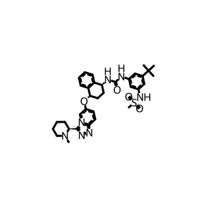 CN1CCCC[C@H]1c1nnc2ccc(O[C@@H]3CC[C@H](NC(=O)Nc4cc(NS(C)(=O)=O)cc(C(C)(C)C)c4)c4ccccc43)cn12